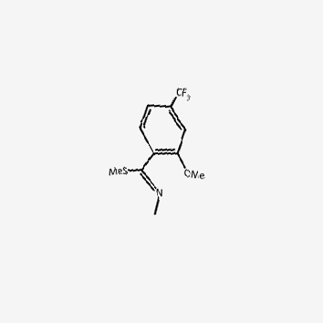 CN=C(SC)c1ccc(C(F)(F)F)cc1OC